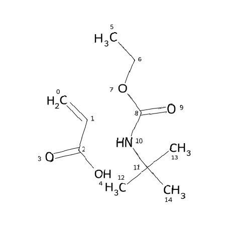 C=CC(=O)O.CCOC(=O)NC(C)(C)C